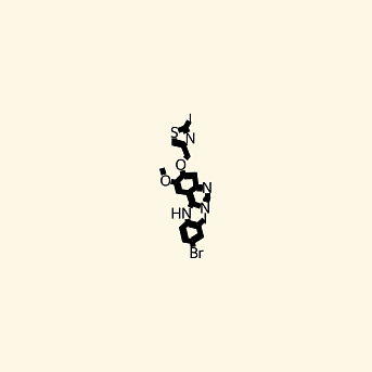 COc1cc2c(Nc3ccc(Br)cc3I)ncnc2cc1OCc1csc(I)n1